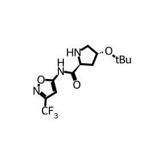 CC(C)(C)O[C@H]1CN[C@H](C(=O)Nc2cc(C(F)(F)F)no2)C1